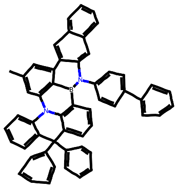 Cc1cc2c3c(c1)N1c4ccccc4C(c4ccccc4)(c4ccccc4)c4cccc(c41)B3N(c1ccc(-c3ccccc3)cc1)c1cc3ccccc3cc1-2